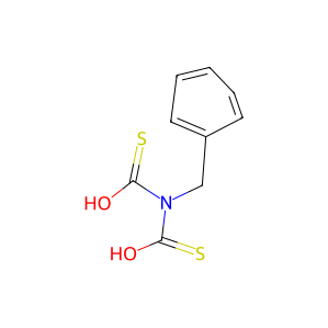 OC(=S)N(Cc1ccccc1)C(O)=S